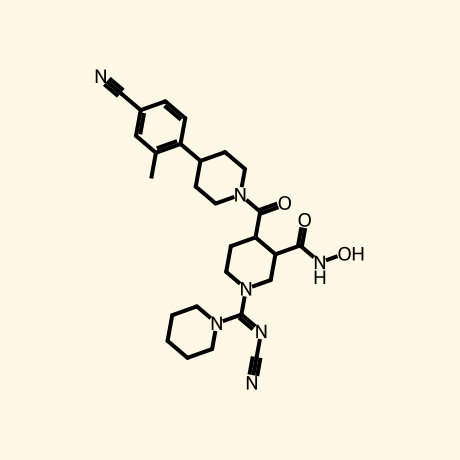 Cc1cc(C#N)ccc1C1CCN(C(=O)C2CCN(C(=NC#N)N3CCCCC3)CC2C(=O)NO)CC1